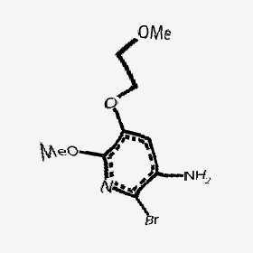 COCCOc1cc(N)c(Br)nc1OC